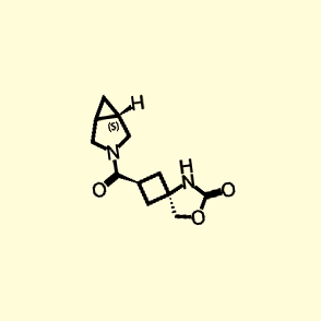 O=C1N[C@]2(CO1)C[C@H](C(=O)N1CC3C[C@@H]3C1)C2